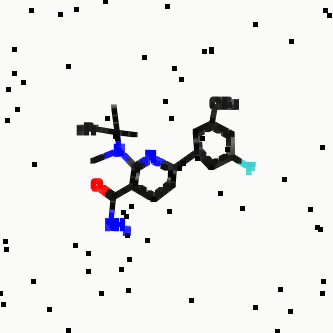 CCCC(C)(C)N(C)c1nc(-c2cc(F)cc(OCC(C)C)c2)ccc1C(N)=O